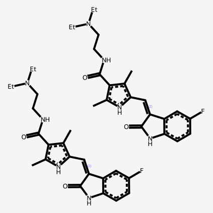 CCN(CC)CCNC(=O)c1c(C)[nH]c(/C=C2\C(=O)Nc3ccc(F)cc32)c1C.CCN(CC)CCNC(=O)c1c(C)[nH]c(/C=C2\C(=O)Nc3ccc(F)cc32)c1C